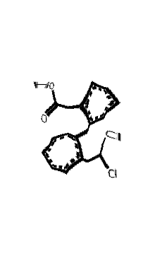 O=C(O)c1ccccc1-c1ccccc1C(Cl)Cl